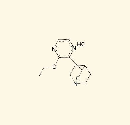 CCOc1nccnc1C1CN2CCC1CC2.Cl